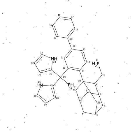 PCC1C2CC3CC(C2)CC1(c1ccc(-c2ccccc2)cc1C(P)(c1ccc[nH]1)c1ccc[nH]1)C3